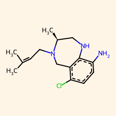 CC(C)=CCN1Cc2c(Cl)ccc(N)c2NC[C@@H]1C